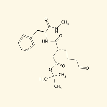 CNC(=O)[C@H](Cc1ccccc1)NC(=O)[C@H](CCCC=O)CC(=O)OC(C)(C)C